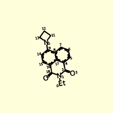 CCN1C(=O)c2cccc3c(N4CCC4)ccc(c23)C1=O